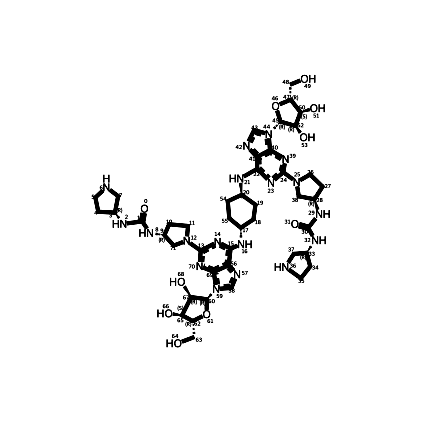 O=C(N[C@@H]1CCNC1)N[C@@H]1CCN(c2nc(N[C@H]3CC[C@H](Nc4nc(N5CC[C@@H](NC(=O)N[C@@H]6CCNC6)C5)nc5c4ncn5[C@@H]4O[C@H](CO)[C@@H](O)[C@H]4O)CC3)c3ncn([C@@H]4O[C@H](CO)[C@@H](O)[C@H]4O)c3n2)C1